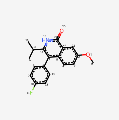 COc1ccc2c(-c3ccc(F)cc3)c(C(C)C)[nH]c(=O)c2c1